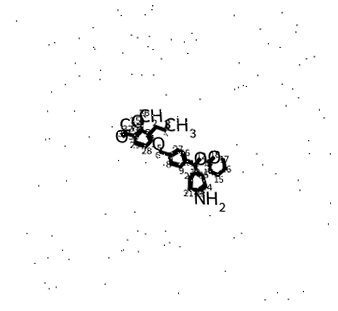 CCCc1c(OCc2ccc(C(OC3CCCCO3)c3ccc(N)cc3)cc2)ccc(C(C)=O)c1OC